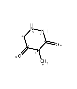 CN1C(=O)CNNC1=O